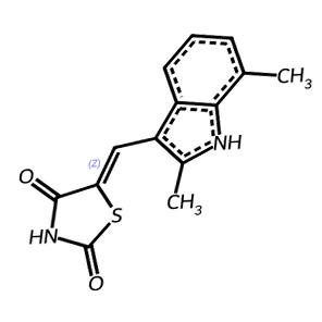 Cc1[nH]c2c(C)cccc2c1/C=C1\SC(=O)NC1=O